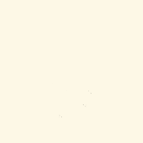 CC1CC(F)=CC=C1c1n[nH]c(N)c1Cl